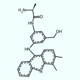 Cc1ccc2c(Nc3cc(CO)cc(NC(=O)[C@H](C)N)c3)c3ccccc3nc2c1C